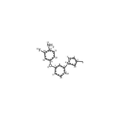 Cc1cnn(-c2cc(Oc3ccc(N)c(F)c3)ccn2)c1